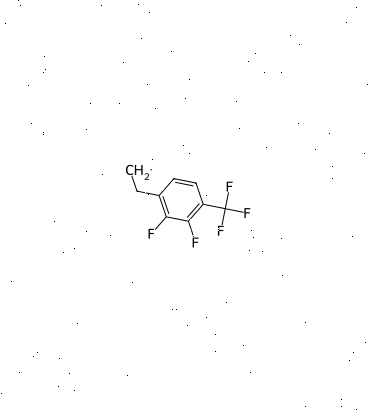 [CH2]Cc1ccc(C(F)(F)F)c(F)c1F